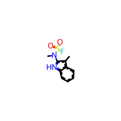 Cc1c(N(C)S(=O)(=O)F)[nH]c2ccccc12